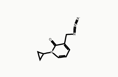 [N-]=[N+]=NCc1cccn(C2CC2)c1=O